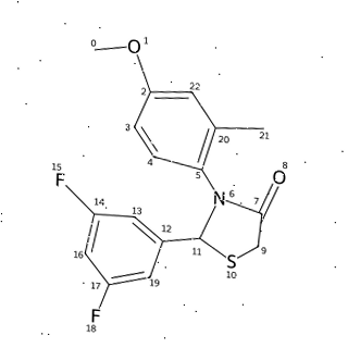 COc1ccc(N2C(=O)CSC2c2cc(F)cc(F)c2)c(C)c1